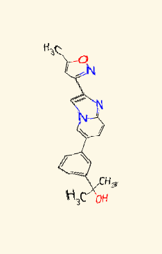 Cc1cc(-c2cn3cc(-c4cccc(C(C)(C)O)c4)ccc3n2)no1